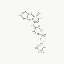 COC(=O)C(Cc1ccc(C)cc1)NC(=O)CC1CCN(C(=O)CCc2cccc(F)c2)CC1